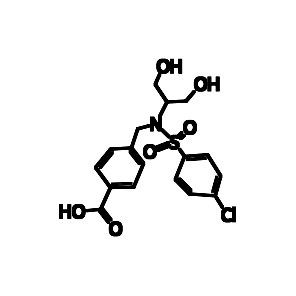 O=C(O)c1ccc(CN(C(CO)CO)S(=O)(=O)c2ccc(Cl)cc2)cc1